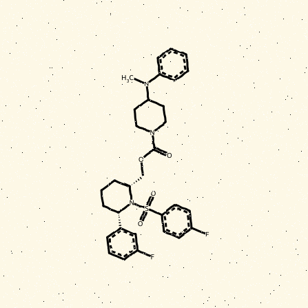 CN(c1ccccc1)C1CCN(C(=O)OC[C@H]2CCC[C@@H](c3cccc(F)c3)N2S(=O)(=O)c2ccc(F)cc2)CC1